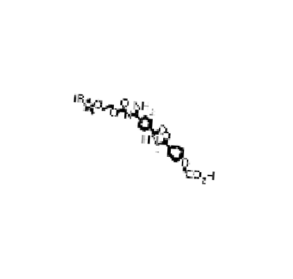 C[C@H](NC(=O)c1ccc(C(N)=NC(=O)OCCO[Si](C)(C)C(C)(C)C)cc1)C(=O)c1ccc(OCC(=O)O)cc1